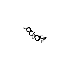 Cc1ccc(C)c(Cc2cc3ccc(OC(F)F)cc3s2)c1